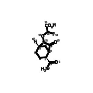 NC(=O)[C@@H]1CC[C@@H]2CN1C(=O)N2OC(F)C(=O)O